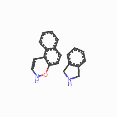 C1=Cc2c(ccc3ccccc23)ON1.c1ccc2c(c1)CNC2